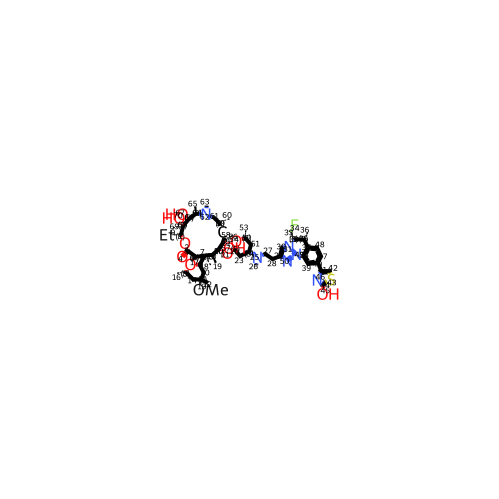 CC[C@H]1OC(=O)[C@H](C)[C@](C)(C2C[C@@](C)(OC)C[C@H](C)O2)[C@H](C)[C@@H](O[C@H]2C[C@@H](N(C)CCc3cn([C@H](CF)[C@H](C)c4ccc(-c5csc(O)n5)cc4)nn3)C[C@@H](C)O2)[C@](C)(O)C[C@@H](C)CN(C)[C@H](C)[C@@H](O)[C@]1(C)O